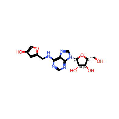 OC[C@H]1O[C@@H](n2cnc3c(NCc4cc(O)co4)ncnc32)[C@@H](O)[C@@H]1O